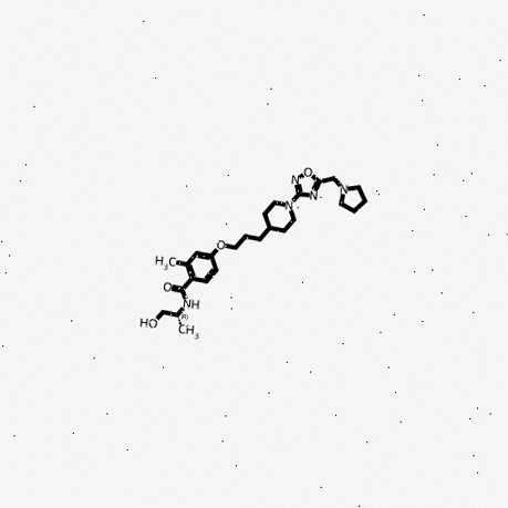 Cc1cc(OCCCC2CCN(c3noc(CN4CCCC4)n3)CC2)ccc1C(=O)N[C@H](C)CO